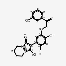 C=C(COc1cc(-c2c(Cl)n3n(c2=O)CCCC3)c(F)cc1Cl)c1cccc(Cl)c1